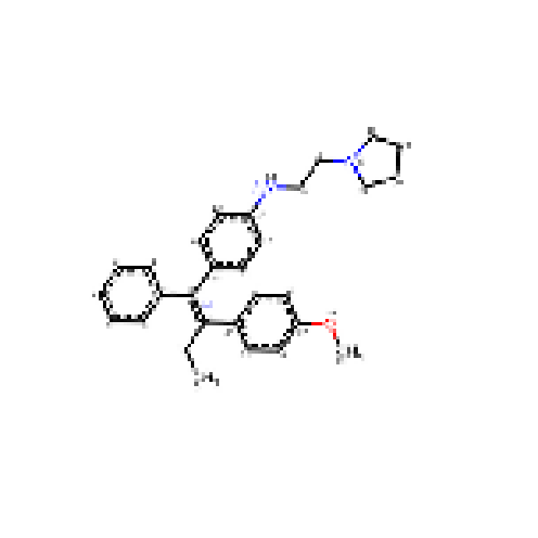 CC/C(=C(\c1ccccc1)c1ccc(NCCN2CCCC2)cc1)c1ccc(OC)cc1